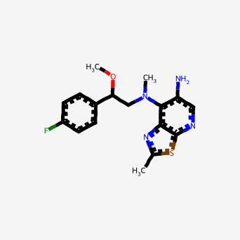 COC(CN(C)c1c(N)cnc2sc(C)nc12)c1ccc(F)cc1